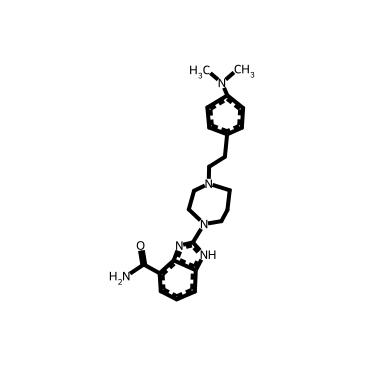 CN(C)c1ccc(CCN2CCCN(c3nc4c(C(N)=O)cccc4[nH]3)CC2)cc1